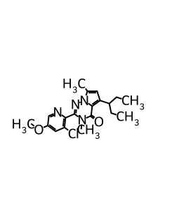 CCC(CC)c1cc(C)n2nc(-c3ncc(OC)cc3Cl)n(C)c(=O)c12